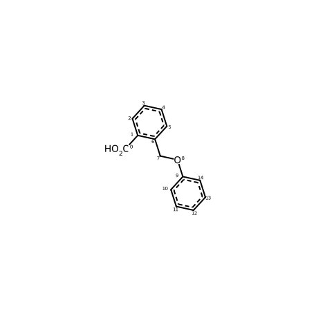 O=C(O)c1ccccc1COc1ccccc1